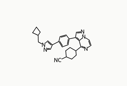 N#CC1CCC(c2nccn3ncc(-c4ccc(-c5cnn(CC6CCC6)c5)cc4)c23)CC1